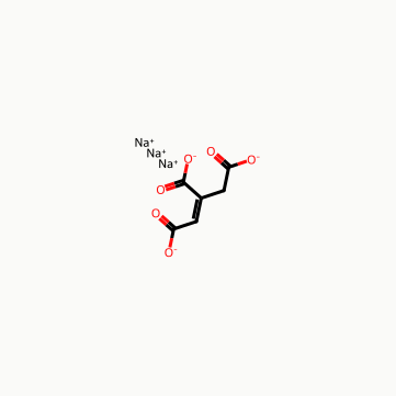 O=C([O-])C=C(CC(=O)[O-])C(=O)[O-].[Na+].[Na+].[Na+]